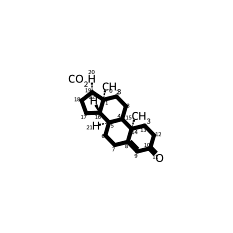 C[C@]12CCC3[C@@H](CCC4=CC(=O)CC[C@@]43C)[C@@H]1CC[C@@H]2C(=O)O